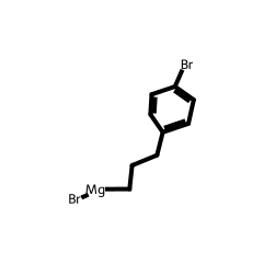 [Br][Mg][CH2]CCc1ccc(Br)cc1